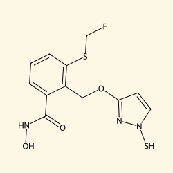 O=C(NO)c1cccc(SCF)c1COc1ccn(S)n1